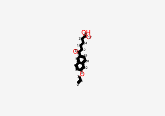 C=CCOc1ccc2cc(C(=O)CCCCC(=O)O)ccc2c1